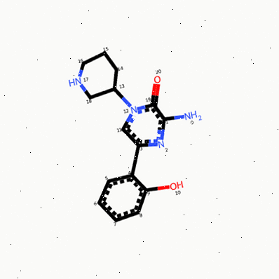 Nc1nc(-c2ccccc2O)cn(C2CCCNC2)c1=O